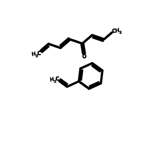 C=CC=CC(=O)C=CC.C=Cc1ccccc1